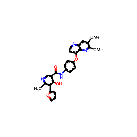 COc1cc2nccc(Oc3ccc(NC(=O)c4cnc(C)c(-c5ccco5)c4O)cc3)c2nc1OC